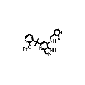 CCOc1ncccc1C(C)(C)c1cc(NCc2ccnn2C)c2[nH]ncc2n1